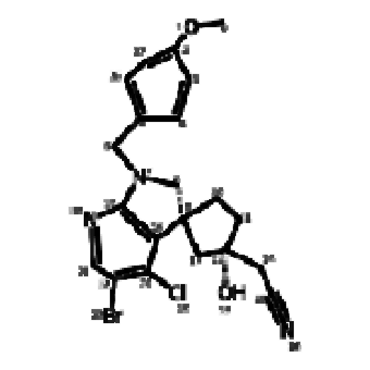 COc1ccc(CN2C[C@@]3(CC[C@@](O)(CC#N)C3)c3c2ncc(Br)c3Cl)cc1